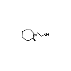 C=C1CCCCCC[C@@H]1CCS